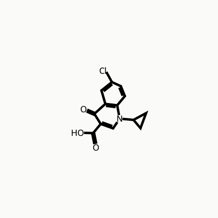 O=C(O)c1cn(C2CC2)c2ccc(Cl)cc2c1=O